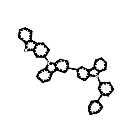 c1ccc(-c2cccc(-n3c4ccccc4c4cc(-c5ccc6c(c5)c5ccccc5n6-c5ccc6c(c5)oc5ccccc56)ccc43)c2)cc1